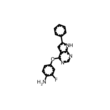 Nc1ccc(Oc2ncnc3[nH]c(-c4ccccc4)cc23)cc1F